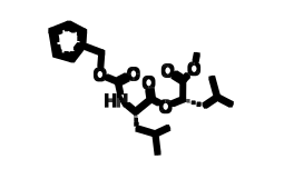 COC(=O)[C@H](CC(C)C)OC(=O)[C@H](CC(C)C)NC(=O)OCc1ccccc1